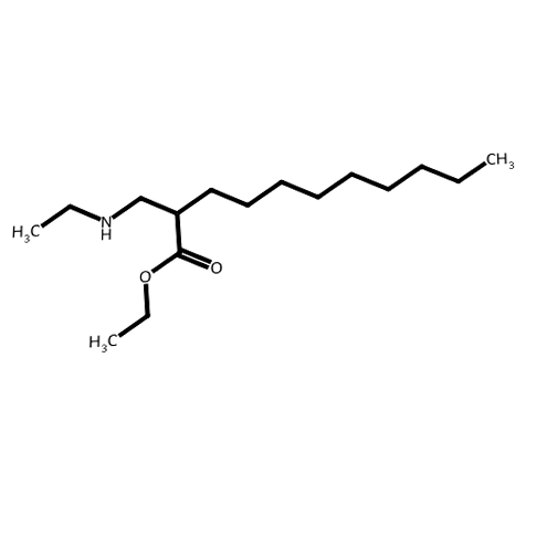 CCCCCCCCCC(CNCC)C(=O)OCC